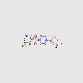 CC(C)(C)OC(=O)N1CCN(S(=O)(=O)c2cncc(Br)c2)CC1